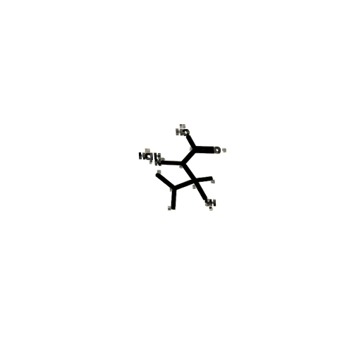 CC(C)C(C)(S)C(N)C(=O)O.Cl